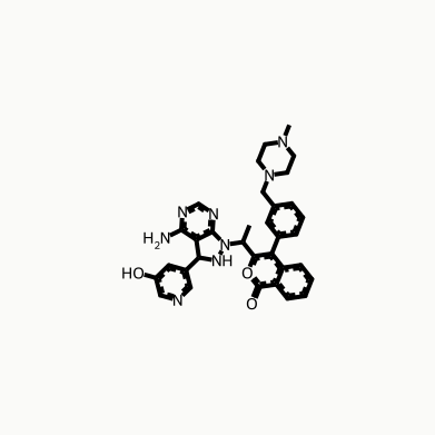 CC(c1oc(=O)c2ccccc2c1-c1cccc(CN2CCN(C)CC2)c1)N1NC(c2cncc(O)c2)c2c(N)ncnc21